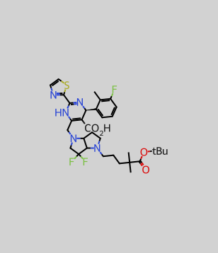 Cc1c(F)cccc1[C@@H]1N=C(c2nccs2)NC(CN2CC(F)(F)C3C2CCN3CCCC(C)(C)C(=O)OC(C)(C)C)=C1C(=O)O